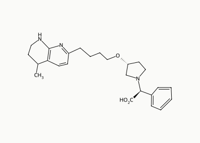 CC1CCNc2nc(CCCCO[C@@H]3CCN([C@H](C(=O)O)c4ccccc4)C3)ccc21